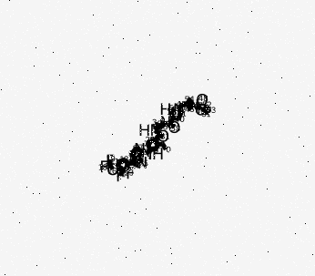 CCc1cc(Nc2nccn3c(-c4ccc(OC(F)F)c(F)c4F)cnc23)ccc1C(=O)N[C@@H](C)CNC(=O)C1CCN(CC2CN(C(=O)OC(C)(C)C)C2)CC1